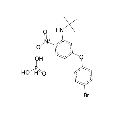 CC(C)(C)Nc1cc(Oc2ccc(Br)cc2)ccc1[N+](=O)[O-].O=[PH](O)O